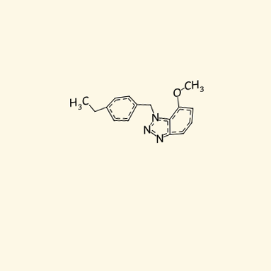 CCc1ccc(Cn2nnc3cccc(OC)c32)cc1